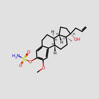 C=CC[C@]1(O)CC[C@H]2[C@@H]3CCc4cc(OS(N)(=O)=O)c(OC)cc4[C@H]3CC[C@@]21C